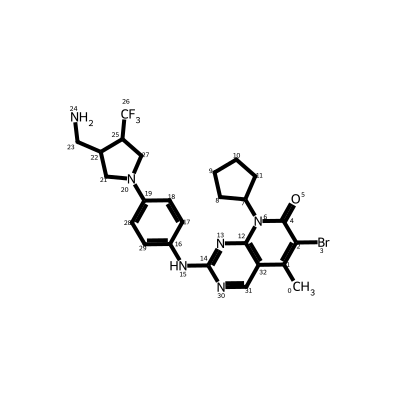 Cc1c(Br)c(=O)n(C2CCCC2)c2nc(Nc3ccc(N4CC(CN)C(C(F)(F)F)C4)cc3)ncc12